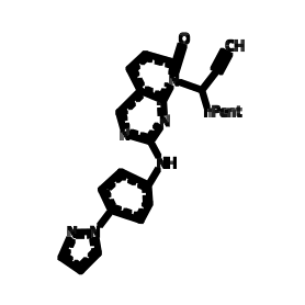 C#CC(CCCCC)n1c(=O)ccc2cnc(Nc3ccc(-n4cccn4)cc3)nc21